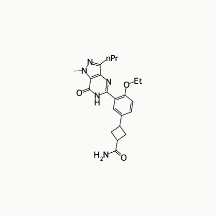 CCCc1nn(C)c2c(=O)[nH]c(-c3cc(C4CC(C(N)=O)C4)ccc3OCC)nc12